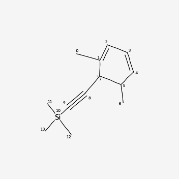 CC1=CC=CC(C)[C]1C#C[Si](C)(C)C